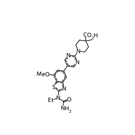 CCN(C(N)=O)c1nc2cc(-c3cnc(N4CCC(C)(C(=O)O)CC4)nc3)cc(OC)c2s1